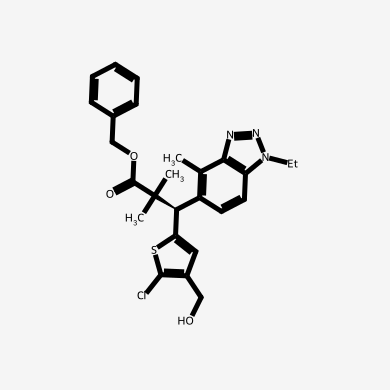 CCn1nnc2c(C)c([C@@H](c3cc(CO)c(Cl)s3)C(C)(C)C(=O)OCc3ccccc3)ccc21